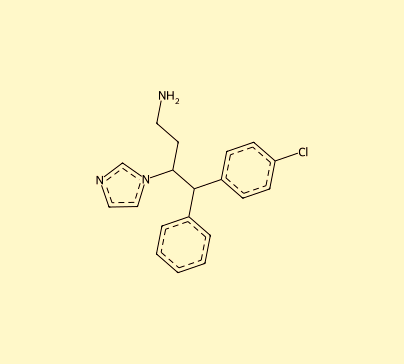 NCCC(C(c1ccccc1)c1ccc(Cl)cc1)n1ccnc1